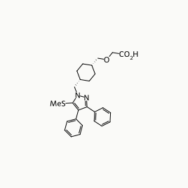 CSc1c(-c2ccccc2)c(-c2ccccc2)nn1C[C@H]1CC[C@@H](COCC(=O)O)CC1